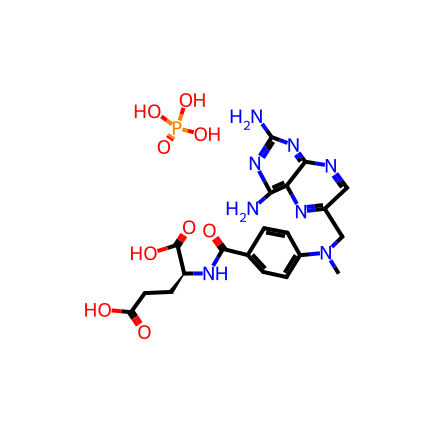 CN(Cc1cnc2nc(N)nc(N)c2n1)c1ccc(C(=O)N[C@@H](CCC(=O)O)C(=O)O)cc1.O=P(O)(O)O